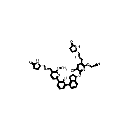 COc1nc(-c2cccc(-c3cccc4c3CC[C@@H]4Oc3nc(OCC#N)c(CNC[C@@H]4CCC(=O)N4)cc3Cl)c2Cl)ccc1CNC[C@@H]1CCC(=O)N1